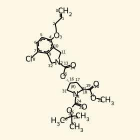 C=CCOc1ccc(Cl)c2c1CN(C(=O)O[C@@H]1C[C@@H](C(=O)OC)N(C(=O)OC(C)(C)C)C1)C2